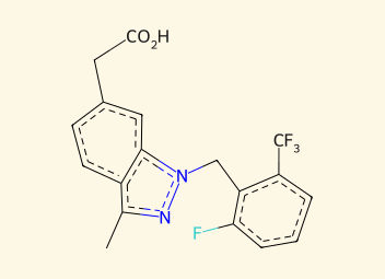 Cc1nn(Cc2c(F)cccc2C(F)(F)F)c2cc(CC(=O)O)ccc12